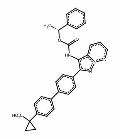 C[C@@H](OC(=O)Nc1c(-c2ccc(-c3ccc(C4(C(=O)O)CC4)cc3)cc2)nn2ncccc12)c1ccccc1